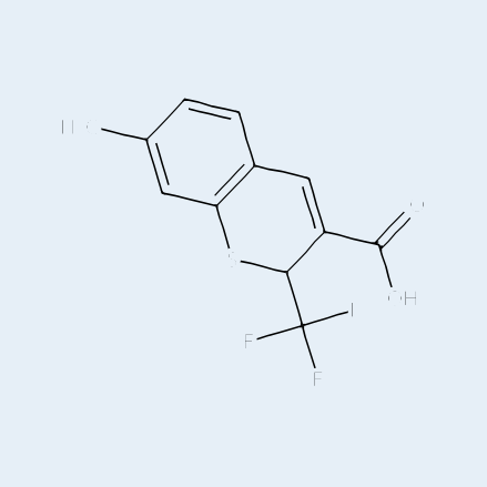 Cc1ccc2c(c1)SC(C(F)(F)F)C(C(=O)O)=C2